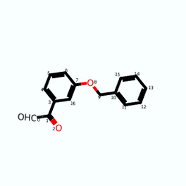 O=CC(=O)c1cccc(OCc2ccccc2)c1